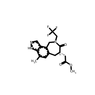 COC(=O)C[C@@H]1Cc2cc(C)c3[nH]ncc3c2CN(CC(F)(F)F)C1=O